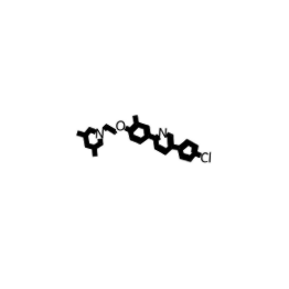 Cc1cc(-c2ccc(-c3ccc(Cl)cc3)cn2)ccc1OCCN1CC(C)CC(C)C1